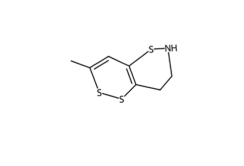 CC1=CC2=C(CCNS2)SS1